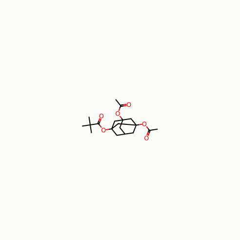 CC(=O)OC12CC3CC(OC(C)=O)(C1)CC(OC(=O)C(C)(C)C)(C3)C2